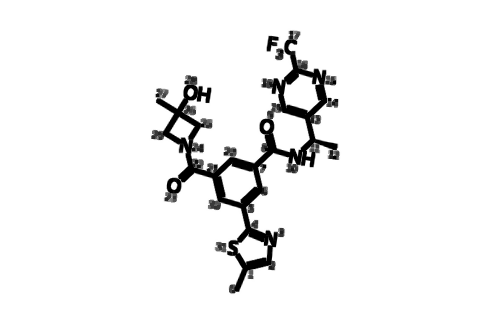 Cc1cnc(-c2cc(C(=O)N[C@H](C)c3cnc(C(F)(F)F)nc3)cc(C(=O)N3CC(C)(O)C3)c2)s1